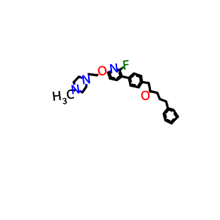 CN1CCN(CCOc2ccc(-c3ccc(CC(=O)CCCc4ccccc4)cc3)c(F)n2)CC1